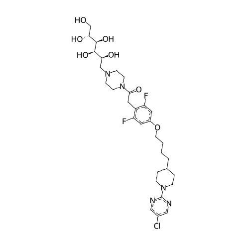 O=C(Cc1c(F)cc(OCCCCC2CCN(c3ncc(Cl)cn3)CC2)cc1F)N1CCN(C[C@H](O)[C@@H](O)[C@H](O)[C@H](O)CO)CC1